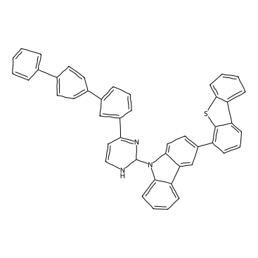 C1=CC(c2cccc(-c3ccc(-c4ccccc4)cc3)c2)=NC(n2c3ccccc3c3cc(-c4cccc5c4sc4ccccc45)ccc32)N1